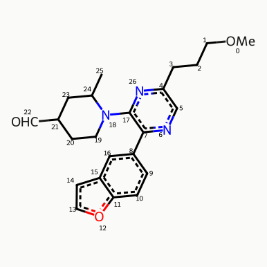 COCCCc1cnc(-c2ccc3occc3c2)c(N2CCC(C=O)CC2C)n1